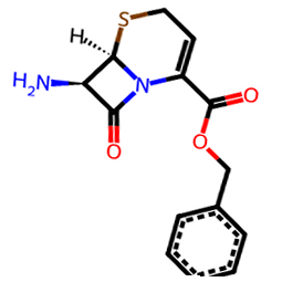 N[C@@H]1C(=O)N2C(C(=O)OCc3ccccc3)=CCS[C@H]12